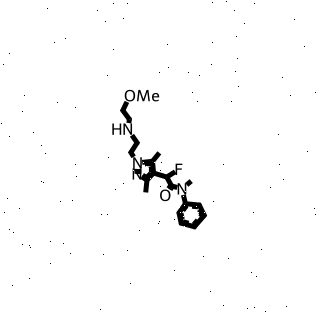 COCCNCCn1nc(C)c(C(F)C(=O)N(C)c2ccccc2)c1C